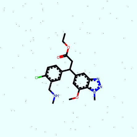 CCOC(=O)CC(c1ccc(Cl)c(CNC)c1)c1cc(OC)c2c(c1)nnn2C